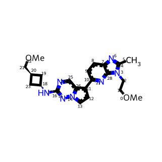 COCCn1c(C)nc2ccc(-c3ccn4nc(N[C@H]5C[C@H](COC)C5)ncc34)nc21